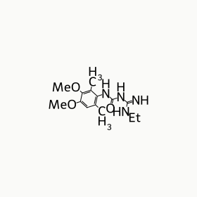 CCNC(=N)NC(=O)Nc1c(C)cc(OC)c(OC)c1C